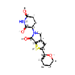 O=C1CCC(N2Cc3cc(C4=CCCCO4)sc3C2=O)C(=O)N1